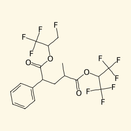 CC(CC(C(=O)OC(CF)C(F)(F)F)c1ccccc1)C(=O)OC(C(F)(F)F)C(F)(F)F